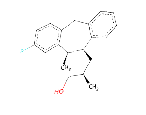 C[C@@H](CO)C[C@@H]1c2ccccc2Cc2ccc(F)cc2[C@@H]1C